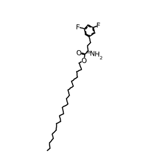 CCCCCCCCCCCCCCCCCCCCCOC(=O)[C@@H](N)CCc1cc(F)cc(F)c1